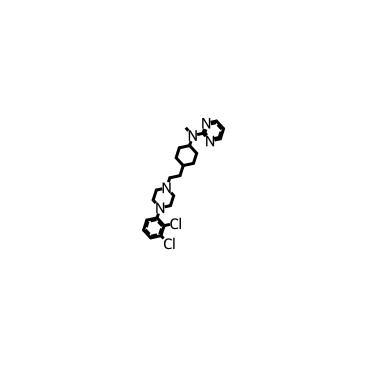 CN(c1ncccn1)C1CCC(CCN2CCN(c3cccc(Cl)c3Cl)CC2)CC1